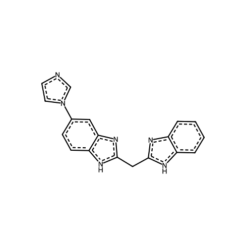 c1ccc2[nH]c(Cc3nc4cc(-n5ccnc5)ccc4[nH]3)nc2c1